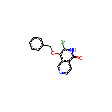 O=c1[nH]c(Br)c(OCc2ccccc2)c2cnccc12